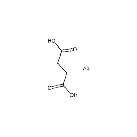 O=C(O)CCC(=O)O.[Ag]